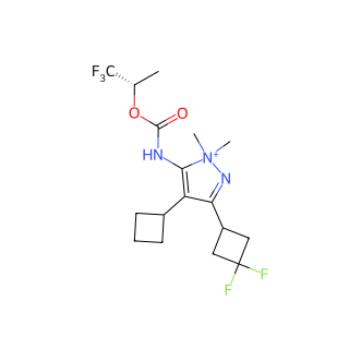 C[C@H](OC(=O)NC1=C(C2CCC2)C(C2CC(F)(F)C2)=N[N+]1(C)C)C(F)(F)F